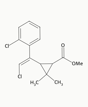 COC(=O)C1C(C(=CCl)c2ccccc2Cl)C1(C)C